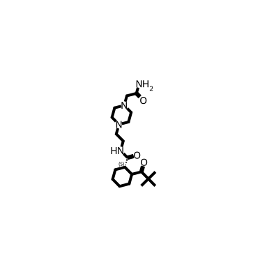 CC(C)(C)C(=O)C1CCCC[C@@H]1C(=O)NCCN1CCN(CC(N)=O)CC1